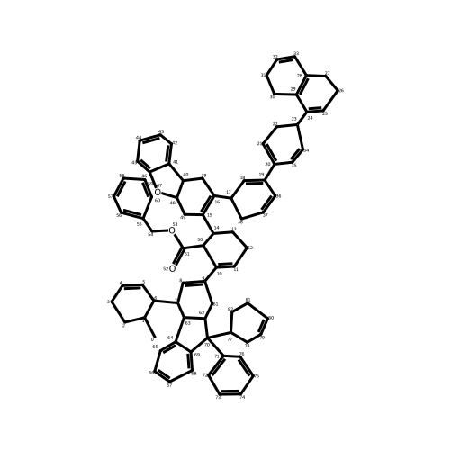 CC1CCC=CC1C1C=C(C2=CCCC(C3=C(C4C=C(C5=CCC(C6=CCCC7=C6CCC=C7)C=C5)C=CC4)CC4c5ccccc5OC4C3)C2C(=O)OCc2ccccc2)CC2C1c1ccccc1C2(c1ccccc1)C1CC=CCC1